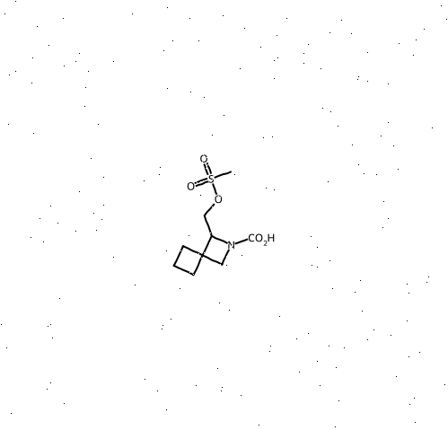 CS(=O)(=O)OCC1N(C(=O)O)CC12CCC2